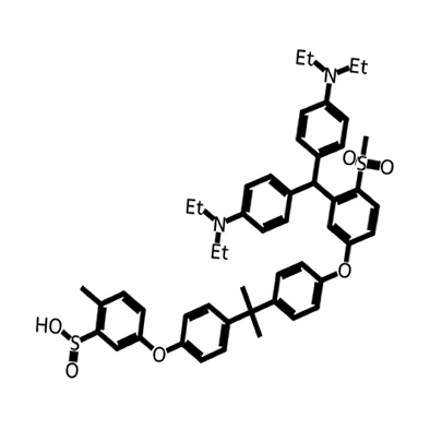 CCN(CC)c1ccc(C(c2ccc(N(CC)CC)cc2)c2cc(Oc3ccc(C(C)(C)c4ccc(Oc5ccc(C)c(S(=O)O)c5)cc4)cc3)ccc2S(C)(=O)=O)cc1